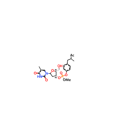 COP(=O)(Oc1ccc(CC(C)C(C)=O)cc1)O[C@@H]1CC(n2cc(C)c(=O)[nH]c2=O)O[C@@H]1CO